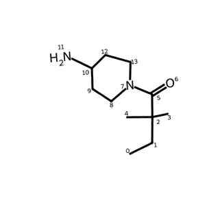 CCC(C)(C)C(=O)N1CCC(N)CC1